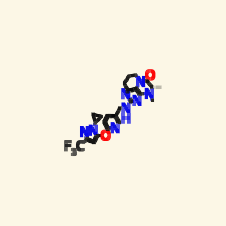 C[C@H]1C(=O)N2CCCc3nc(NCc4ccc(Oc5cc(C(F)(F)F)nn5C5CC5)nc4)nc(c32)N1C